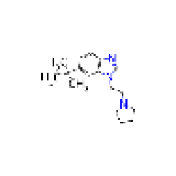 CC(C)(C)c1ccc2ncn(CCN3CCCC3)c2c1